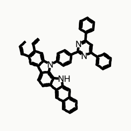 C=Cc1cc2c(cc1/C=C\C)c1ccc3c4cc5ccccc5cc4[nH]c3c1n2-c1ccc(-c2nc(-c3ccccc3)cc(-c3ccccc3)n2)cc1